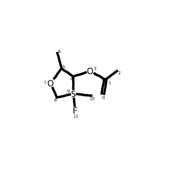 C=C(C)OC1C(C)OCS1(C)F